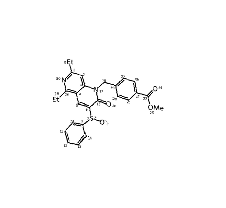 CCc1cc2c(cc([S+]([O-])c3ccccc3)c(=O)n2Cc2ccc(C(=O)OC)cc2)c(CC)n1